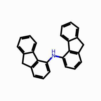 c1ccc2c(c1)Cc1cccc(Nc3cccc4c3-c3ccccc3C4)c1-2